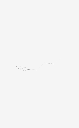 C[CH]CCC#N